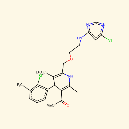 CCOC(=O)C1=C(COCCNc2cc(Cl)ncn2)NC(C)=C(C(=O)OC)C1c1cccc(C(F)(F)F)c1Cl